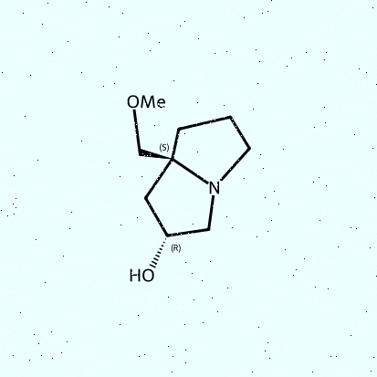 COC[C@@]12CCCN1C[C@H](O)C2